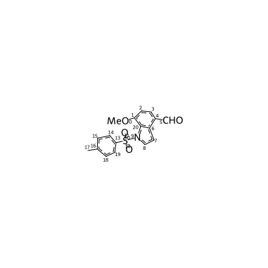 COc1ccc(C=O)c2ccn(S(=O)(=O)c3ccc(C)cc3)c12